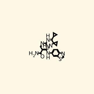 NC(=O)c1cnc(N[C@H](C2CC2)C2(N)CC2)nc1Nc1ccc2ncsc2c1